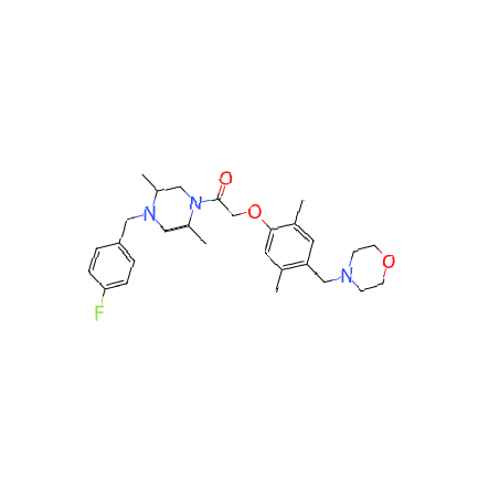 Cc1cc(OCC(=O)N2CC(C)N(Cc3ccc(F)cc3)CC2C)c(C)cc1CN1CCOCC1